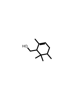 CC1=CCC(C)C(C)(C)C1CO